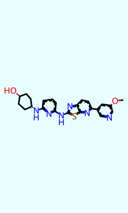 COc1cncc(-c2ccc3nc(Nc4cccc(N[C@H]5CC[C@H](O)CC5)n4)sc3n2)c1